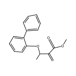 C=C(C(=O)OC)C(C)Oc1ccccc1-c1ccccc1